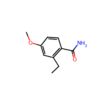 CCc1cc(OC)ccc1C(N)=O